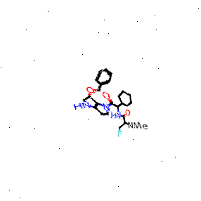 CNC(CF)C(=O)NC(C(=O)N1CCC2NCC(OCc3ccccc3)C21)C1CCCCC1